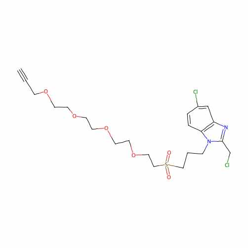 C#CCOCCOCCOCCOCCS(=O)(=O)CCCn1c(CCl)nc2cc(Cl)ccc21